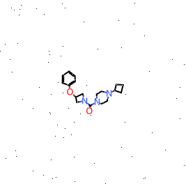 O=C(N1CCN(C2CCC2)CC1)N1CC(Oc2ccccc2)C1